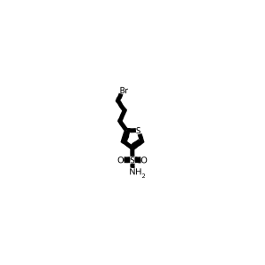 NS(=O)(=O)c1csc(CCCBr)c1